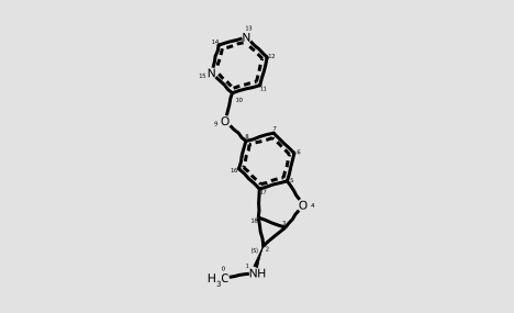 CN[C@@H]1C2Oc3ccc(Oc4ccncn4)cc3C21